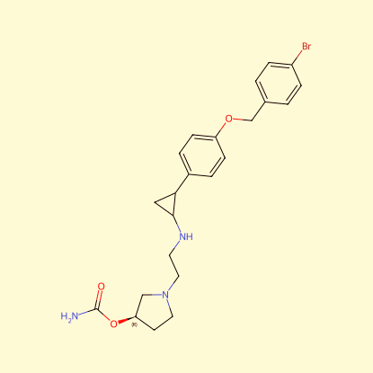 NC(=O)O[C@@H]1CCN(CCNC2CC2c2ccc(OCc3ccc(Br)cc3)cc2)C1